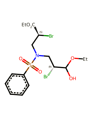 CCOC(=O)[C@@H](Br)CN(C[C@@H](Br)C(O)OCC)S(=O)(=O)c1ccccc1